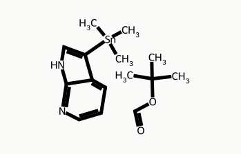 CC(C)(C)OC=O.[CH3][Sn]([CH3])([CH3])[c]1c[nH]c2ncccc12